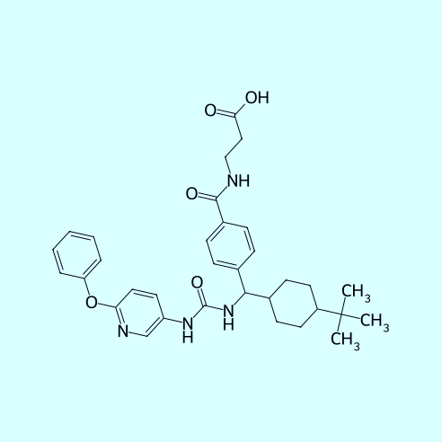 CC(C)(C)C1CCC(C(NC(=O)Nc2ccc(Oc3ccccc3)nc2)c2ccc(C(=O)NCCC(=O)O)cc2)CC1